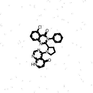 O=c1cc[nH]c2ncnc(N3CCCC3c3nc4cccc(Cl)c4c(=O)n3-c3ccccc3)c12